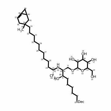 CCCCCCCCCCCCCCC[C@@H](O)[C@H](COC1OC(CO)C(O)C(O)C1O)N[C@@H](CCCCCCCCCCC1(C)CC=C2CC2C1)C(F)(F)F